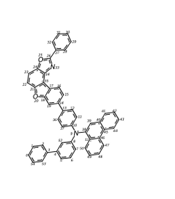 c1ccc(-c2cccc(N(c3ccc(-c4ccc5c(c4)oc4ccc6oc(-c7ccccc7)nc6c45)cc3)c3cc4ccccc4c4ccccc34)c2)cc1